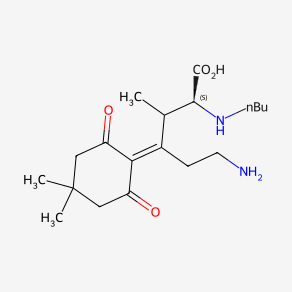 CCCCN[C@H](C(=O)O)C(C)C(CCN)=C1C(=O)CC(C)(C)CC1=O